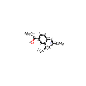 C=Cc1cc(C(=O)OC)ccc1/C=C(\C)OC